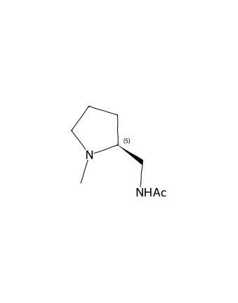 CC(=O)NC[C@@H]1CCCN1C